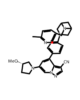 CO[C@H]1CCN(c2cc(-c3ccc(N4CC5CC(C4)N5Cc4ccc(C)nc4)nc3)c3c(C#N)cnn3c2)C1